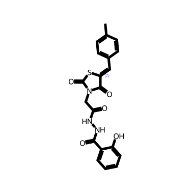 Cc1ccc(/C=C2\SC(=O)N(CC(=O)NNC(=O)c3ccccc3O)C2=O)cc1